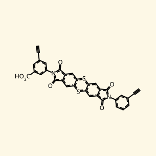 C#Cc1cccc(-n2c(=O)c3cc4sc5cc6c(=O)n(-c7cc(C#C)cc(C(=O)O)c7)c(=O)c6cc5sc4cc3c2=O)c1